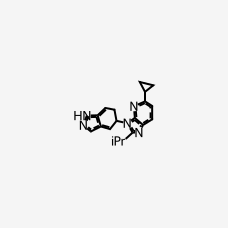 CC(C)c1nc2ccc(C3CC3)nc2n1C1C=c2cn[nH]c2=CC1